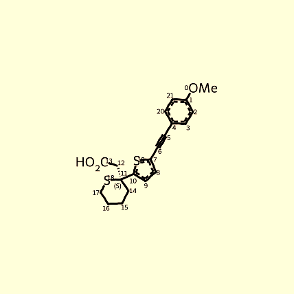 COc1ccc(C#Cc2ccc([C@@]3(CC(=O)O)CCCCS3)s2)cc1